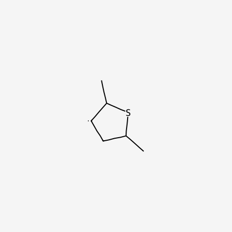 CC1[CH]CC(C)S1